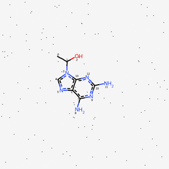 CC(O)n1cnc2c(N)nc(N)nc21